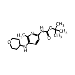 Cc1nc(NC(=O)OC(C)(C)C)ccc1NC1CCOCC1